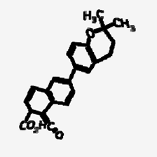 CC1(C)CCc2cc(-c3ccc4c(c3)C=CC(C(=O)O)C4=C=O)ccc2O1